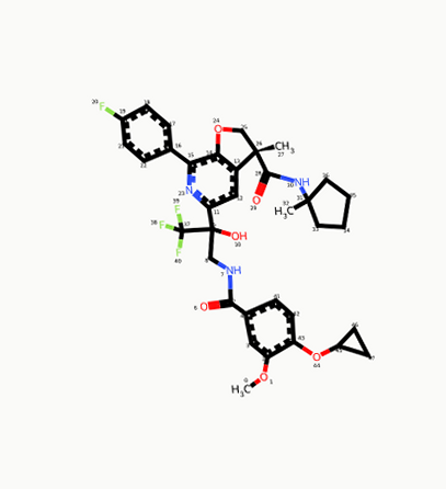 COc1cc(C(=O)NCC(O)(c2cc3c(c(-c4ccc(F)cc4)n2)OC[C@]3(C)C(=O)NC2(C)CCCC2)C(F)(F)F)ccc1OC1CC1